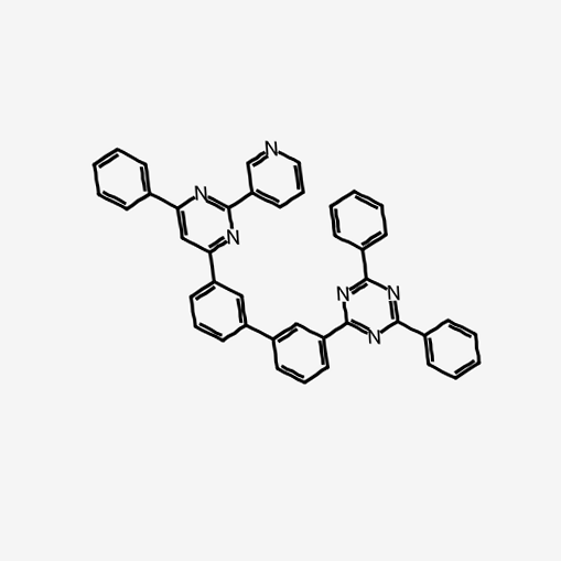 c1ccc(-c2cc(-c3cccc(-c4cccc(-c5nc(-c6ccccc6)nc(-c6ccccc6)n5)c4)c3)nc(-c3cccnc3)n2)cc1